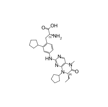 CC[C@@H]1C(=O)N(C)c2cnc(Nc3ccc(C[C@H](N)C(=O)O)c(C4CCCC4)c3)nc2N1C1CCCC1